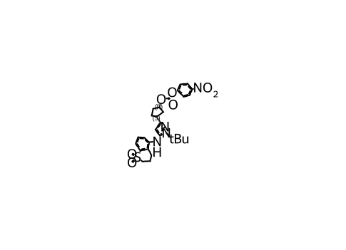 CC(C)(C)n1nc([C@H]2CC[C@@H](OC(=O)Oc3ccc([N+](=O)[O-])cc3)C2)cc1Nc1cccc2c1CCCS2(=O)=O